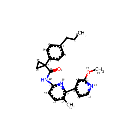 CCCc1ccc(C2(C(=O)Nc3ccc(C)c(-c4ccnc(OC)c4)n3)CC2)cc1